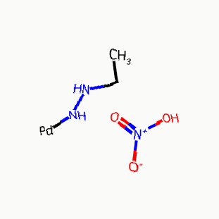 CCN[NH][Pd].O=[N+]([O-])O